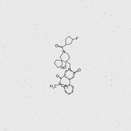 CN(C)C(=O)c1cn(CC2(O)CCN(C(=O)C3CCC(F)C3)CC23CCCC3)c(=O)cc1-c1ccccc1